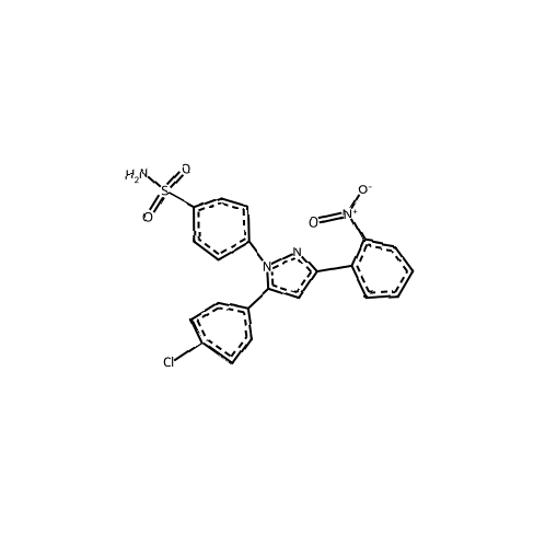 NS(=O)(=O)c1ccc(-n2nc(-c3ccccc3[N+](=O)[O-])cc2-c2ccc(Cl)cc2)cc1